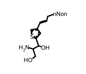 CCCCCCCCCC/C=C/c1csc(C(O)C(N)CO)c1